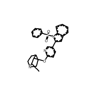 CC1C(Oc2ccc(-c3cc4ccccc4n3S(=O)(=O)c3ccccc3)cn2)C2CCN1CC2